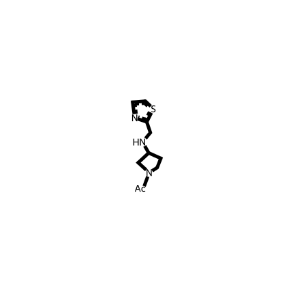 CC(=O)N1CCC(NCc2nccs2)C1